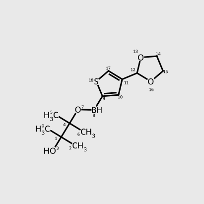 CC(C)(O)C(C)(C)OBc1cc(C2OCCO2)cs1